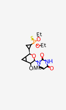 CCOP(=S)(OCC)C1CC1[C@H]1O[C@@H](n2ccc(=O)[nH]c2=O)C(OC)C2CC21